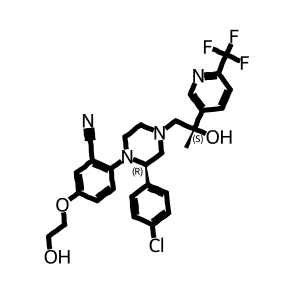 C[C@@](O)(CN1CCN(c2ccc(OCCO)cc2C#N)[C@H](c2ccc(Cl)cc2)C1)c1ccc(C(F)(F)F)nc1